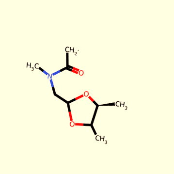 [CH2]C(=O)N(C)CC1OC(C)[C@H](C)O1